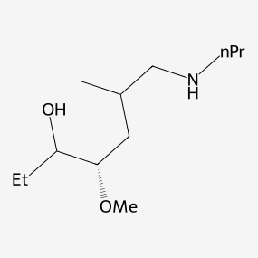 CCCNCC(C)C[C@H](OC)C(O)CC